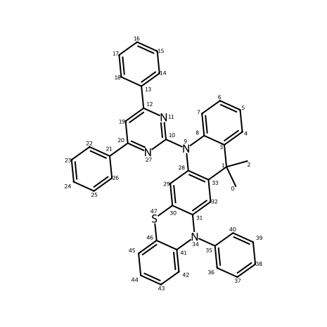 CC1(C)c2ccccc2N(c2nc(-c3ccccc3)cc(-c3ccccc3)n2)c2cc3c(cc21)N(c1ccccc1)c1ccccc1S3